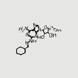 Nc1nc(NN=CC2CCCCC2)nc2c1ncn2[C@@H]1O[C@H](CO)C(O)C1O